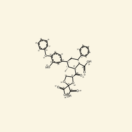 C[C@H]([C@H](CCc1ccccc1)c1ccc(Oc2ccccc2)c(O)c1)N(CC(=O)O)C(=O)[C@@H]1COC(C(=O)O)(C(=O)O)O1